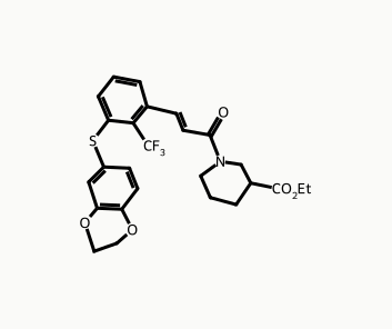 CCOC(=O)C1CCCN(C(=O)C=Cc2cccc(Sc3ccc4c(c3)OCCO4)c2C(F)(F)F)C1